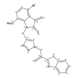 COc1ccc(Br)c2c1N(Cc1cn(CC(=O)c3nc4ccccc4s3)nn1)C(=O)C2=O